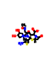 CON=CC(=O)NC1(c2csc(N)n2)S[C@H]2CC(=O)N2C(C(=O)[O-])=C1/C=C\C[N+]1(C)C[C@H](O)[C@@H](O)C1